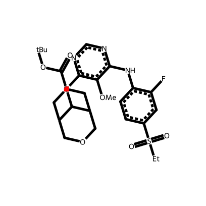 CCS(=O)(=O)c1ccc(Nc2ncnc(OC3C4COCC3CN(C(=O)OC(C)(C)C)C4)c2OC)c(F)c1